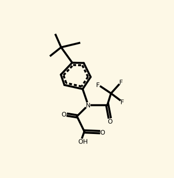 CC(C)(C)c1ccc(N(C(=O)C(=O)O)C(=O)C(F)(F)F)cc1